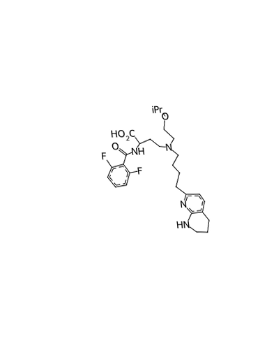 CC(C)OCCN(CCCCc1ccc2c(n1)NCCC2)CCC(NC(=O)c1c(F)cccc1F)C(=O)O